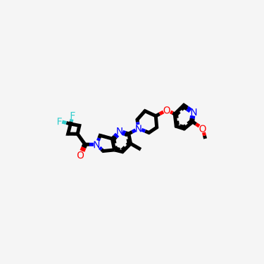 COc1ccc(OC2CCN(c3nc4c(cc3C)CN(C(=O)C3CC(F)(F)C3)C4)CC2)cn1